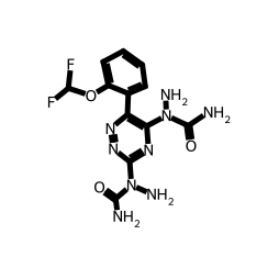 NC(=O)N(N)c1nnc(-c2ccccc2OC(F)F)c(N(N)C(N)=O)n1